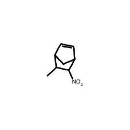 CC1C2C=CC(C2)C1[N+](=O)[O-]